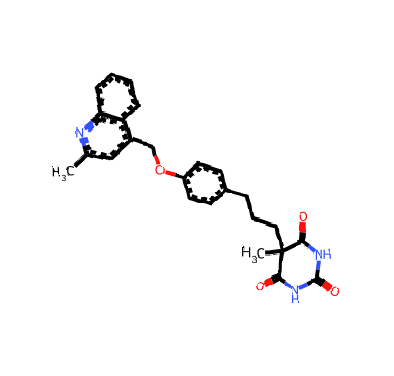 Cc1cc(COc2ccc(CCCC3(C)C(=O)NC(=O)NC3=O)cc2)c2ccccc2n1